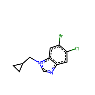 Clc1cc2ncn(CC3CC3)c2cc1Br